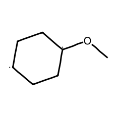 CO[C]1CC[CH]CC1